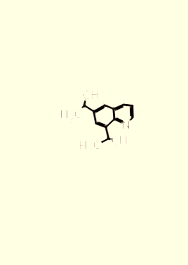 CC(C)c1cc(C(C)C)c2ncccc2c1